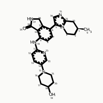 C[C@H]1CCn2c(-c3ccc(Nc4ccc(N5CCC(O)CC5)cn4)c4c3CNC4=O)cnc2C1